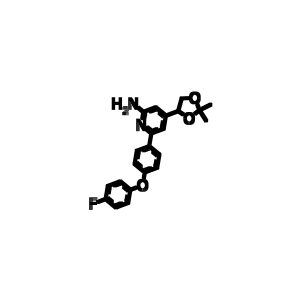 CC1(C)OCC(c2cc(N)nc(-c3ccc(Oc4ccc(F)cc4)cc3)c2)O1